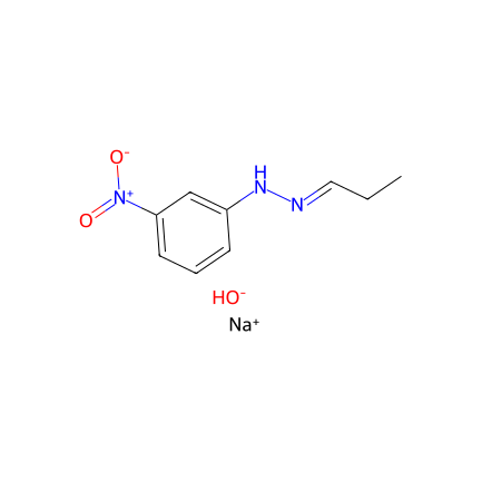 CCC=NNc1cccc([N+](=O)[O-])c1.[Na+].[OH-]